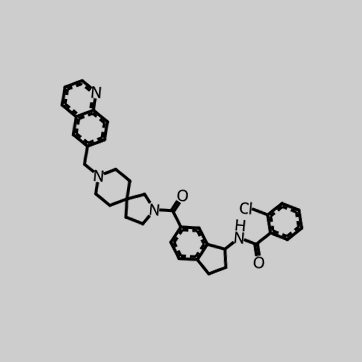 O=C(NC1CCc2ccc(C(=O)N3CCC4(CCN(Cc5ccc6ncccc6c5)CC4)C3)cc21)c1ccccc1Cl